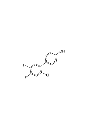 Oc1ccc(-c2cc(F)c(F)cc2Cl)cc1